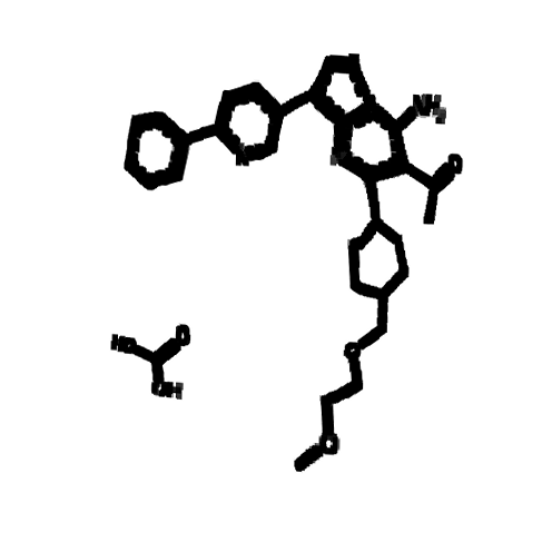 COCCOCC1CCC(c2nc3c(-c4ccc(-c5ccccc5)nc4)cnn3c(N)c2C(C)=O)CC1.O=C(O)O